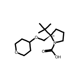 CC(C)(C)[C@]1(COC2CCOCC2)CCCN1C(=O)O